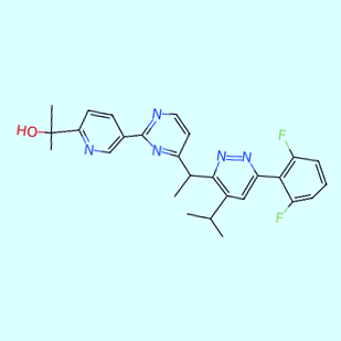 CC(C)c1cc(-c2c(F)cccc2F)nnc1C(C)c1ccnc(-c2ccc(C(C)(C)O)nc2)n1